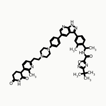 Cc1cc(-c2n[nH]c3ncc(-c4ccc(N5CCN(CCc6ccc(C7CCC(=O)NC7=O)c(C)n6)CC5)cc4)cc23)ccc1C(C)NC(=O)c1nc(C(C)(C)C)no1